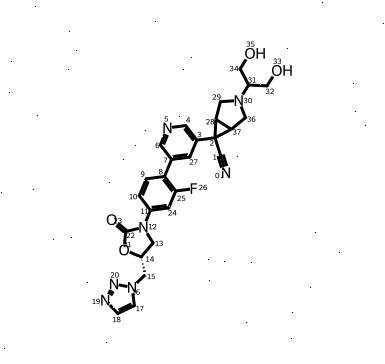 N#CC1(c2cncc(-c3ccc(N4C[C@H](Cn5ccnn5)OC4=O)cc3F)c2)C2CN(C(CO)CO)CC21